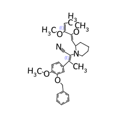 C/C=C(/OC)C(=CC1CCCCN1/C(C#N)=C(\C)c1ccc(OC)c(OCc2ccccc2)c1)OC